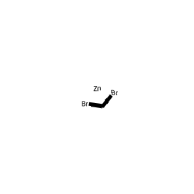 BrCBr.[Zn]